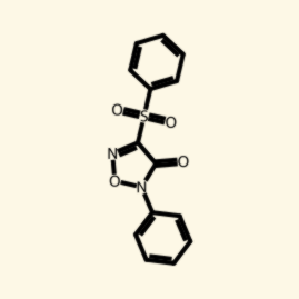 O=c1c(S(=O)(=O)c2ccccc2)non1-c1ccccc1